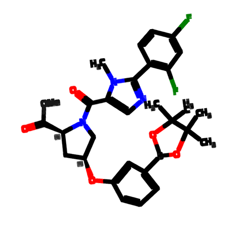 COC(=O)[C@@H]1C[C@H](Oc2cccc(B3OC(C)(C)C(C)(C)O3)c2)CN1C(=O)c1cnc(-c2ccc(F)cc2F)n1C